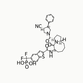 N#C[C@H]1CN(C(=O)[C@@H]2CC[C@@H]3CCCC[C@H](NC(=O)c4cc5cc(C(F)(F)P(=O)(O)O)ccc5s4)C(=O)N32)C[C@@H]1c1ccccc1